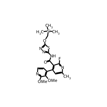 COc1nccc(-c2cc(C)nc(F)c2C(=O)Nc2nnc(OC[Si](C)(C)C)s2)c1OC